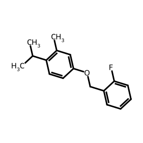 Cc1cc(OCc2ccccc2F)ccc1C(C)C